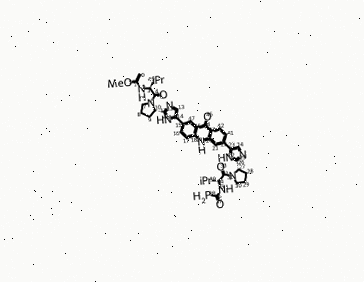 C=C(N[C@H](C(=O)N1CCC[C@H]1c1ncc(-c2ccc3[nH]c4cc(-c5cnc([C@@H]6CCCN6C(=O)[C@@H](NC(=O)P)C(C)C)[nH]5)ccc4c(=O)c3c2)[nH]1)C(C)C)OC